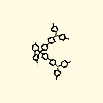 Cc1ccc(N(c2ccc(C)cc2)c2ccc(-c3ccc(C4(c5ccc(-c6ccc(N(c7ccc(C)cc7)c7ccc(C)cc7)cc6)cc5)c5cc(I)ccc5-c5ccc(I)cc54)cc3)cc2)cc1